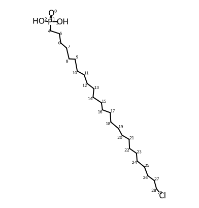 O=P(O)(O)CCCCCCCCCCCCCCCCCCCCCCCCCCl